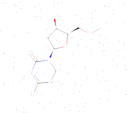 NC1=NC(=O)N([C@H]2C[C@@H](O)[C@@H](COI)O2)CN1